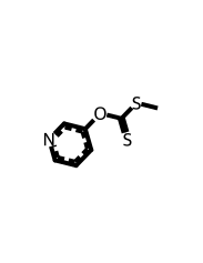 CSC(=S)Oc1cccnc1